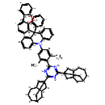 Cc1cc(N2c3ccccc3C(c3ccccc3)(c3cccc4c3oc3ccccc34)c3ccccc32)cc(C)c1-c1nc(C23CC4CCCC(C2)C(C4)C3)nc(C23CC4CCCC(C2)C(C4)C3)n1